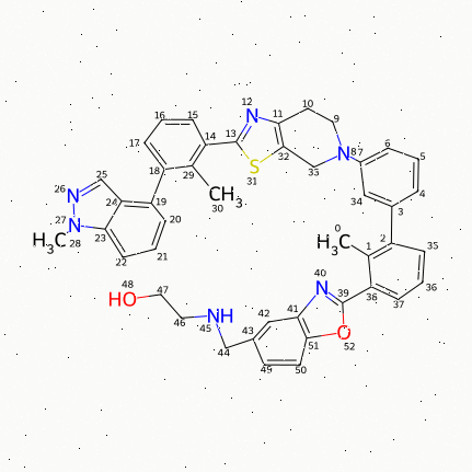 Cc1c(-c2cccc(N3CCc4nc(-c5cccc(-c6cccc7c6cnn7C)c5C)sc4C3)c2)cccc1-c1nc2cc(CNCCO)ccc2o1